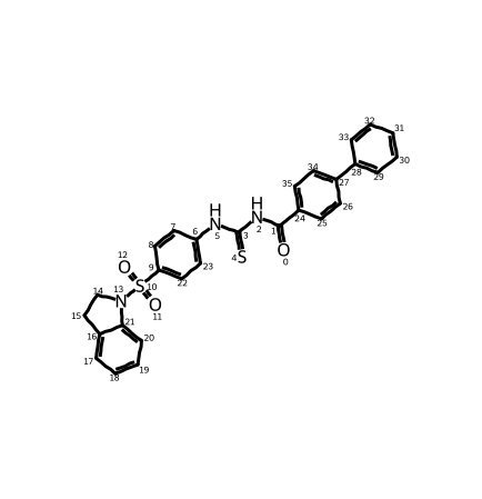 O=C(NC(=S)Nc1ccc(S(=O)(=O)N2CCc3ccccc32)cc1)c1ccc(-c2ccccc2)cc1